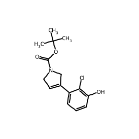 CC(C)(C)OC(=O)N1CC=C(c2cccc(O)c2Cl)C1